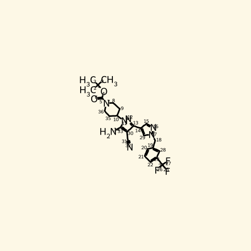 CC(C)(C)OC(=O)N1CCC(n2nc(-c3cnn(Cc4cccc(C(F)(F)F)c4)c3)c(C#N)c2N)CC1